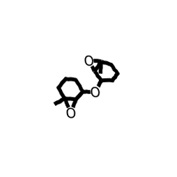 CC12CCCC(OC3CCCC4(C)OC34)C1O2